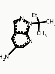 CCC(C)(C)n1ncc2cc(N)cnc21